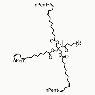 CCCCC/C=C\C/C=C\CCCCCCCC(=O)OCC(COC(=O)CCCCCCC/C=C\C/C=C\CCCCC)(COC(=O)CCCCCCC/C=C\C/C=C\CCCCC)NC(=O)CCC[N+](C)(C)C